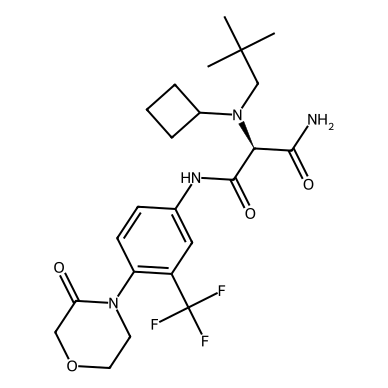 CC(C)(C)CN(C1CCC1)[C@@H](C(N)=O)C(=O)Nc1ccc(N2CCOCC2=O)c(C(F)(F)F)c1